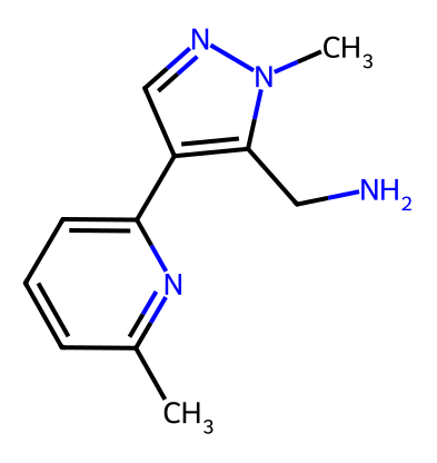 Cc1cccc(-c2cnn(C)c2CN)n1